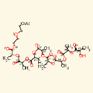 CC(=O)OCCOCCOC(=O)C(C)OC(=O)C(C)OC(=O)C(C)OC(=O)C(C)OC(=O)C(C)OC(=O)C(C)OC(=O)C(C)OC(=O)C(C)O